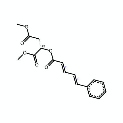 COC(=O)C[C@H](OC(=O)/C=C/C=C/c1ccccc1)C(=O)OC